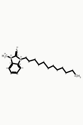 CCCCCCCCCCCCn1c(=S)n(C)c2ccccc21